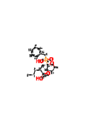 CCCC(CC1(P(=O)(O)Cc2ccccc2)CCCO1)C(=O)O